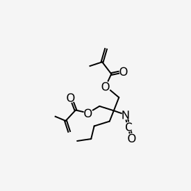 C=C(C)C(=O)OCC(CCCC)(COC(=O)C(=C)C)N=C=O